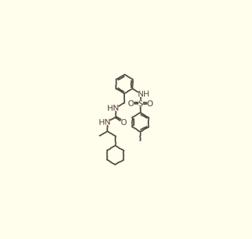 Cc1ccc(S(=O)(=O)Nc2ccccc2CNC(=O)NC(C)CC2CCCCC2)cc1